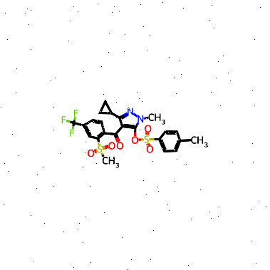 Cc1ccc(S(=O)(=O)Oc2c(C(=O)c3ccc(C(F)(F)F)cc3S(C)(=O)=O)c(C3CC3)nn2C)cc1